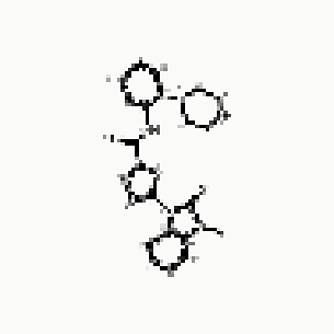 Cn1c(=O)n(-c2nnc(C(=O)Nc3cnccc3N3CCNCC3)o2)c2ccccc21